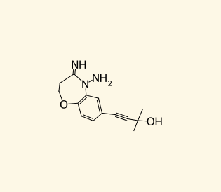 CC(C)(O)C#Cc1ccc2c(c1)N(N)C(=N)CCO2